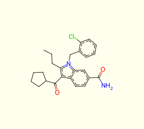 CCCc1c(C(=O)C2CCCC2)c2ccc(C(N)=O)cc2n1Cc1ccccc1Cl